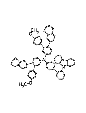 COc1ccc(-c2cc(N(c3ccc(-c4ccccc4-n4c5ccccc5c5ccccc54)cc3)c3ccc(-c4ccc5ccccc5c4)c(-c4ccc(OC)cc4)c3)ccc2-c2ccc3ccccc3c2)cc1